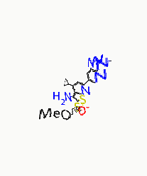 COCC[S@+]([O-])c1sc2nc(-c3cnc4c(c3)nnn4C)cc(C3CC3)c2c1N